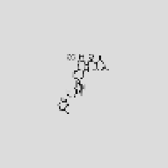 Cc1ccnc(NCc2cn(-c3ccc(C[C@H](NC(=O)c4c(C)cc(C)cc4C)C(=O)O)cc3)nn2)c1